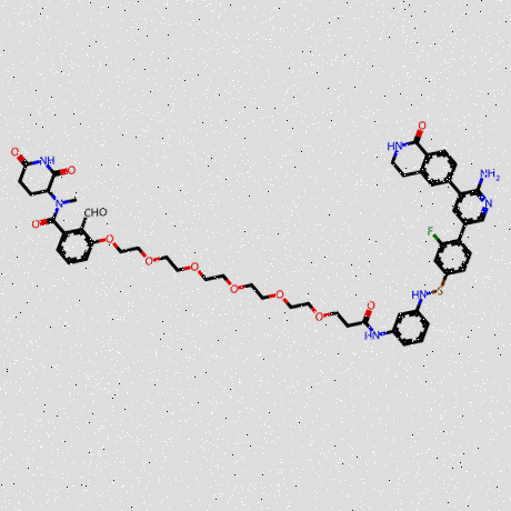 CN(C(=O)c1cccc(OCCOCCOCCOCCOCCOCCC(=O)Nc2cccc(NSc3ccc(-c4cnc(N)c(-c5ccc6c(c5)CCNC6=O)c4)c(F)c3)c2)c1C=O)C1CCC(=O)NC1=O